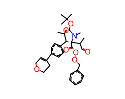 CC(C)C(c1ccc(C2=CCOCC2)cc1)[C@@](C(=O)OOCc1ccccc1)(C(C)C=O)N(C)C(=O)OC(C)(C)C